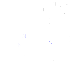 CC1(C)c2ccccc2-c2ccc(-c3ccc(-c4nc(-c5ccccc5)nc(-c5cccc(-c6cccc(-c7cccc8c(-c9ccccc9)nc9ccccc9c78)c6)c5)n4)cc3)cc21